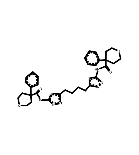 O=C(Nc1nnc(CCCCc2nnc(NC(=O)C3(c4ccccc4)CCOCC3)s2)s1)C1(c2ccccc2)CCOCC1